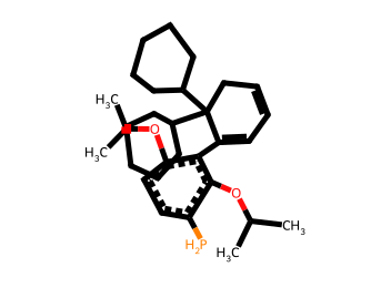 CC(C)Oc1ccc(P)c(OC(C)C)c1C1=CC=CCC1(C1CCCCC1)C1CCCCC1